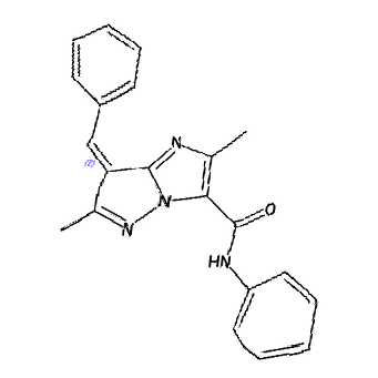 Cc1nc2/c(=C\c3ccccc3)c(C)nn2c1C(=O)Nc1ccccc1